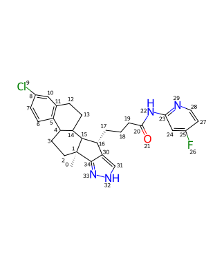 C[C@]12CCC3c4ccc(Cl)cc4CCC3C1[C@H](CCCC(=O)Nc1cc(F)ccn1)c1c[nH]nc12